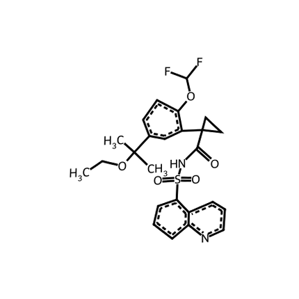 CCOC(C)(C)c1ccc(OC(F)F)c(C2(C(=O)NS(=O)(=O)c3cccc4ncccc34)CC2)c1